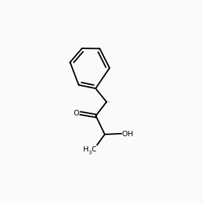 CC(O)C(=O)[CH]c1ccccc1